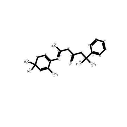 CC1=CC(C)(C#N)CC=C1/N=C(\C)CC(=O)CC(C)(N)c1ccccc1